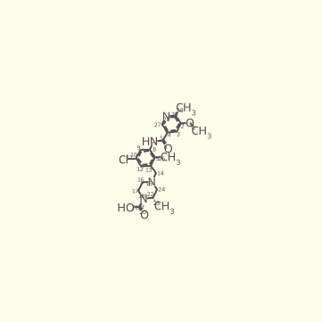 COc1cc(C(=O)Nc2cc(Cl)cc(CN3CCN(C(=O)O)[C@@H](C)C3)c2C)cnc1C